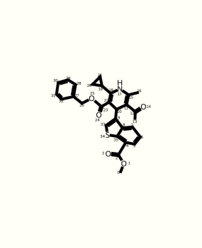 COC(=O)c1cccc2c(C3C(C(C)=O)=C(C)NC(C4CC4)=C3C(=O)OCc3ccccc3)csc12